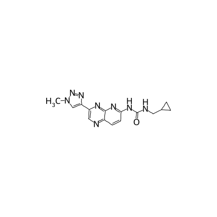 Cn1cc(-c2cnc3ccc(NC(=O)NCC4CC4)nc3n2)nn1